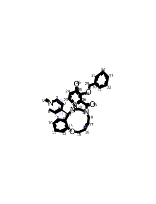 C=N/C=C\C(=C/C)[C@@H]1c2ccccc2OC/C=C\CN2CN1n1ccc(=O)c(OCc3ccccc3)c1C2=O